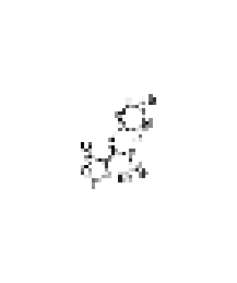 O=C1OCC=C1N(Cc1ccc(F)nc1)CC(F)F